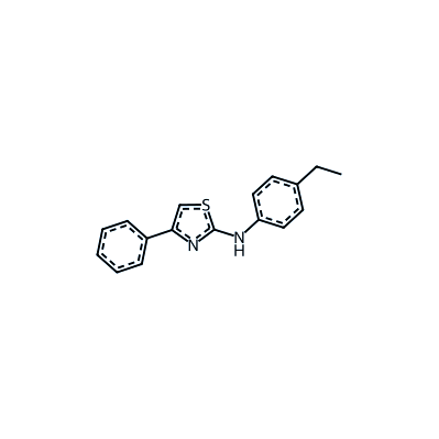 CCc1ccc(Nc2nc(-c3ccccc3)cs2)cc1